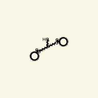 O=C(OCCCCCCN(CCCCO)CCCCCCOC(=O)C1CCCCCCCCCCCCCC1)C1CCCCCCCCCCCCCC1